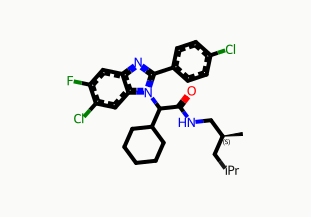 CC(C)C[C@H](C)CNC(=O)C(C1CCCCC1)n1c(-c2ccc(Cl)cc2)nc2cc(F)c(Cl)cc21